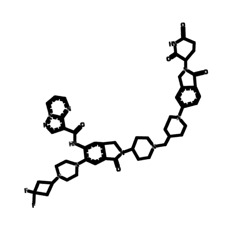 O=C1CCC(N2Cc3cc(N4CCC(CN5CCC(N6Cc7cc(NC(=O)c8cnn9cccnc89)c(N8CCN(C9CC(F)(F)C9)CC8)cc7C6=O)CC5)CC4)ccc3C2=O)C(=O)N1